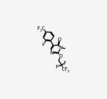 Cn1c(OCC(F)(F)C(F)(F)F)ncc(-c2ccc(C(F)(F)F)cc2F)c1=O